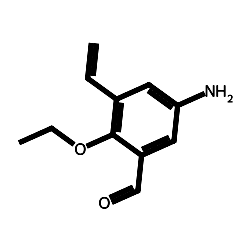 C=Cc1cc(N)cc(C=O)c1OCC